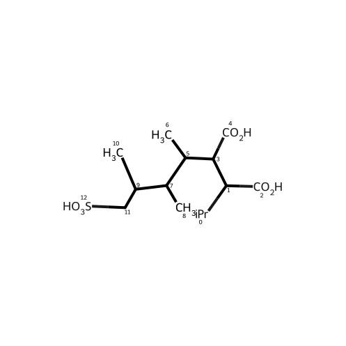 CC(C)C(C(=O)O)C(C(=O)O)C(C)C(C)C(C)CS(=O)(=O)O